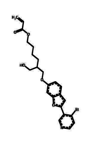 C=CC(=O)OCCCCC(CO)COc1ccc2cc(-c3cnccc3CC)oc2c1